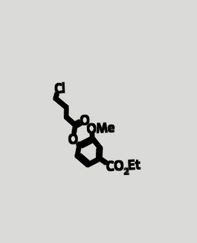 CCOC(=O)c1ccc(OC(=O)CCCCl)c(OC)c1